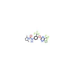 CC1CCC(C)N1C(=O)Nc1ccc(Oc2cnc(Cl)c(C(F)(F)F)n2)c(C(F)(F)F)c1